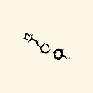 Oc1ccc([C@H]2CC[C@H](CCC3OCCO3)CC2)cc1